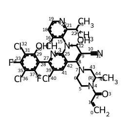 C=CC(=O)N1CCN(C2=C(C#N)C(O)N(c3c(C)ccnc3C(C)C)c3nc(-c4c(O)c(Cl)c(F)c(Cl)c4F)c(Cl)cc32)C[C@H]1C